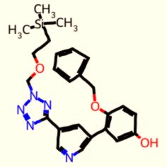 C[Si](C)(C)CCOCn1nnc(-c2cncc(-c3cc(O)ccc3OCc3ccccc3)c2)n1